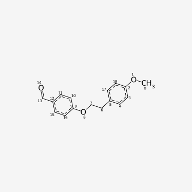 COc1ccc(CCOc2ccc(C=O)cc2)cc1